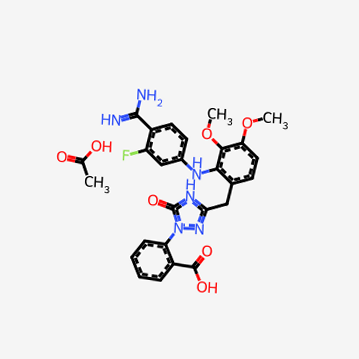 CC(=O)O.COc1ccc(Cc2nn(-c3ccccc3C(=O)O)c(=O)[nH]2)c(Nc2ccc(C(=N)N)c(F)c2)c1OC